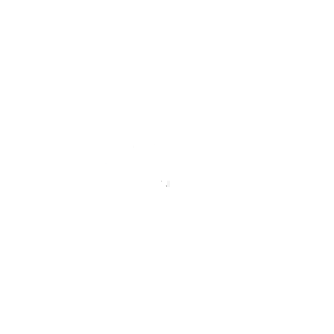 C1=C\CNc2c(cccc2-c2ccccc2)C\C=C/1